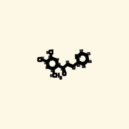 Cc1cc(Cl)c(Cl)cc1C(=O)C=Cc1ccccn1